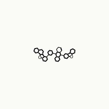 C1=Cc2c(c(-c3cccc(-c4cccc5oc6c7ccccc7ccc6c45)c3)c3ccccc3c2-c2ccc3oc4ccccc4c3c2)CC1